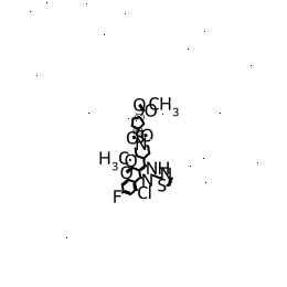 COC(=O)C1=C(C2CCN(S(=O)(=O)[C@@H]3CC[C@@H](C(=O)OC)C3)CC2)NC(c2nccs2)=NC1c1ccc(F)cc1Cl